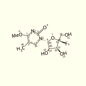 COc1nc(=O)n([C@@H]2O[C@](F)(CO)[C@@H](O)[C@H]2O)cc1C